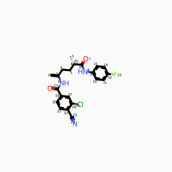 C=C(CC[C@H](C)C(=O)Nc1ccc(F)cc1)NC(=O)c1ccc(C#N)c(Cl)c1